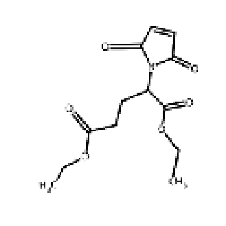 CCOC(=O)CCC(C(=O)OCC)N1C(=O)C=CC1=O